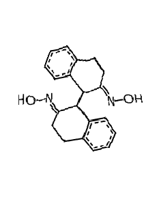 ON=C1CCc2ccccc2C1C1C(=NO)CCc2ccccc21